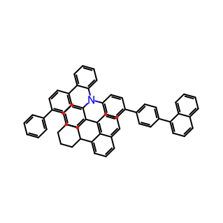 c1ccc(-c2ccc(-c3ccccc3N(c3ccc(-c4ccc(-c5cccc6ccccc56)cc4)cc3)c3ccccc3-c3cccc4cccc(C5CCCCC5)c34)cc2)cc1